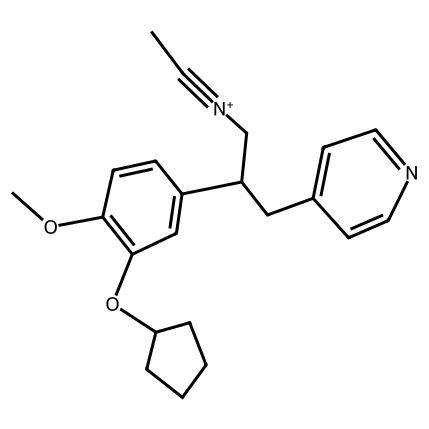 CC#[N+]CC(Cc1ccncc1)c1ccc(OC)c(OC2CCCC2)c1